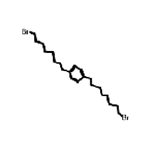 BrCCCCCCCCc1ccc(CCCCCCCCBr)cc1